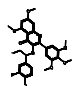 [CH2]CC(Oc1c(-c2cc(OC)c(OC)c(OC)c2)oc2cc(OC)cc(OC)c2c1=O)c1ccc([CH2])c(F)c1